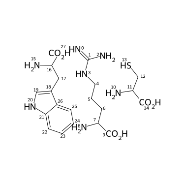 N=C(N)NCCCC(N)C(=O)O.NC(CS)C(=O)O.NC(Cc1c[nH]c2ccccc12)C(=O)O